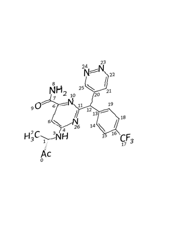 CC(=O)[C@H](C)Nc1cc(C(N)=O)nc(C(c2ccc(C(F)(F)F)cc2)c2ccnnc2)n1